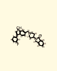 Cn1cc(-c2cccc(F)c2)c2ccc(CN3CCC(N4Cc5ccccc5C4=O)CC3)cc21